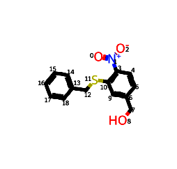 O=[N+]([O-])c1ccc(CO)cc1SCc1ccccc1